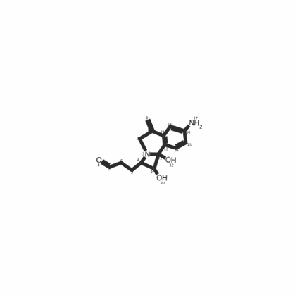 C=C1CN2C(CCC=O)C(O)C2(O)c2ccc(N)cc21